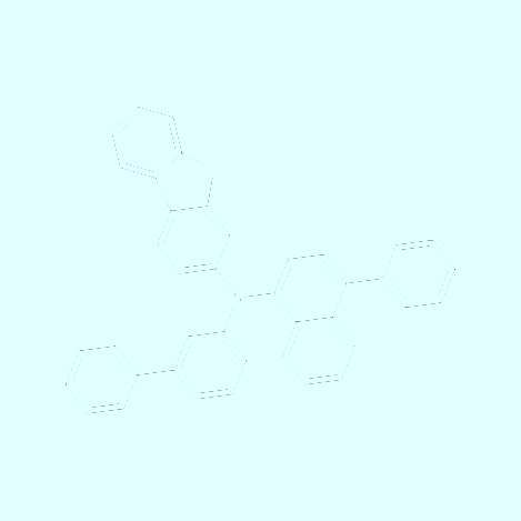 c1ccc(-c2cccc(N(c3ccc4c(c3)oc3ccccc34)c3ccc(-c4ccccc4)c4ccccc34)c2)cc1